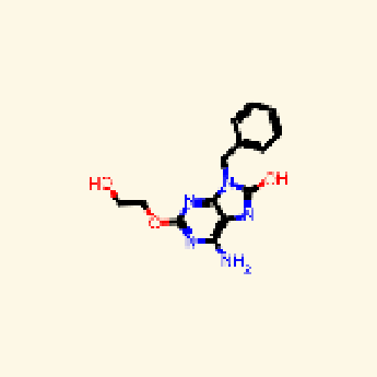 Nc1nc(OCCO)nc2c1nc(O)n2Cc1ccccc1